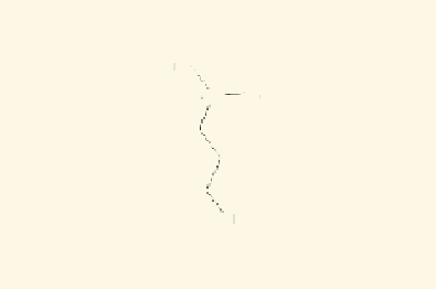 [CH2]CCC[S+](N)[O-]